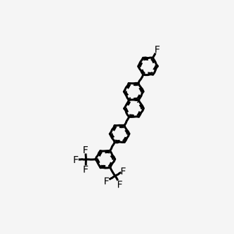 Fc1ccc(-c2ccc3cc(-c4ccc(-c5cc(C(F)(F)F)cc(C(F)(F)F)c5)cc4)ccc3c2)cc1